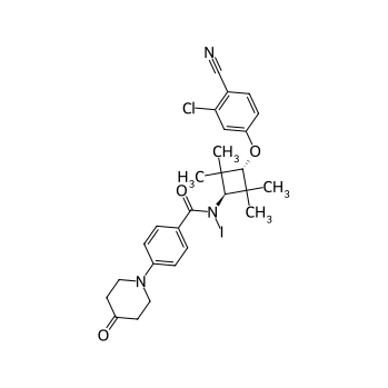 CC1(C)[C@H](Oc2ccc(C#N)c(Cl)c2)C(C)(C)[C@H]1N(I)C(=O)c1ccc(N2CCC(=O)CC2)cc1